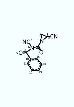 N#CC1CN1C(=O)N(C#N)C(=O)c1ccccc1